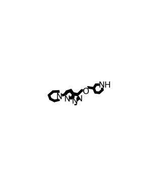 Cn1nc(COCC2CCCNC2)c2ccc(N3CCCCCC3)nc21